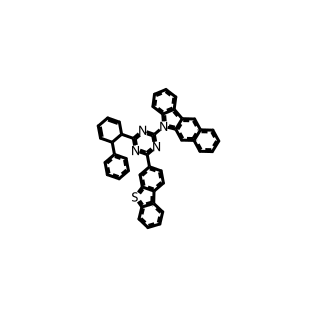 C1=CC(c2ccccc2)C(c2nc(-c3ccc4c(c3)sc3ccccc34)nc(-n3c4ccccc4c4cc5ccccc5cc43)n2)C=C1